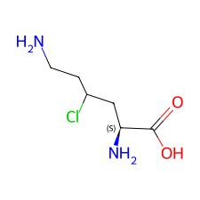 NCCC(Cl)C[C@H](N)C(=O)O